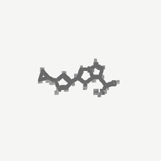 NC(=O)c1cnn2cc(-c3cnn(C4CC4)c3)sc12